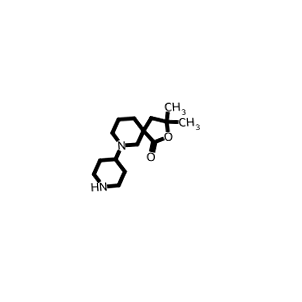 CC1(C)CC2(CCCN(C3CCNCC3)C2)C(=O)O1